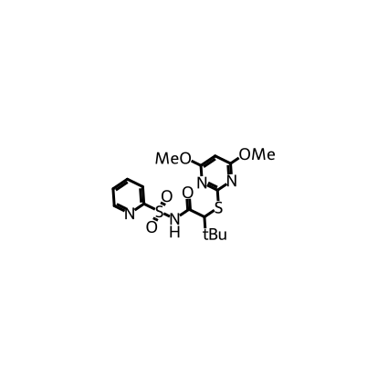 COc1cc(OC)nc(SC(C(=O)NS(=O)(=O)c2ccccn2)C(C)(C)C)n1